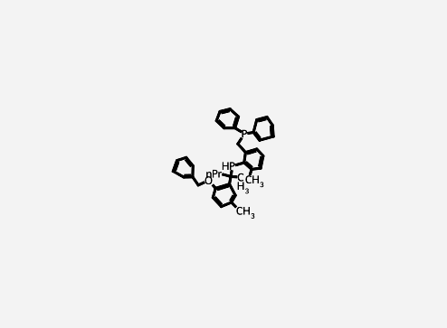 CCCC(C)(Pc1c(C)cccc1CP(c1ccccc1)c1ccccc1)c1cc(C)ccc1OCc1ccccc1